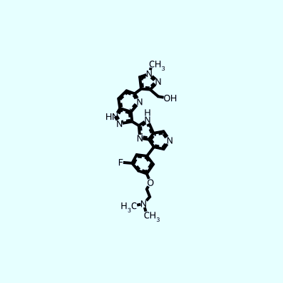 CN(C)CCOc1cc(F)cc(-c2cncc3[nH]c(-c4n[nH]c5ccc(-c6cn(C)nc6CO)nc45)nc23)c1